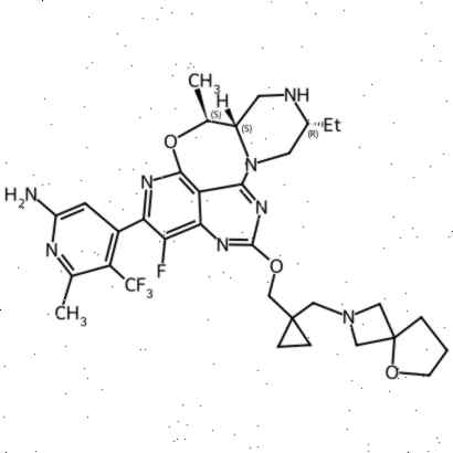 CC[C@@H]1CN2c3nc(OCC4(CN5CC6(CCCO6)C5)CC4)nc4c(F)c(-c5cc(N)nc(C)c5C(F)(F)F)nc(c34)O[C@@H](C)[C@@H]2CN1